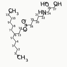 CCCCCCC(CCCCCC)CCOC(=O)CCCCCNC[C@H](O)CO